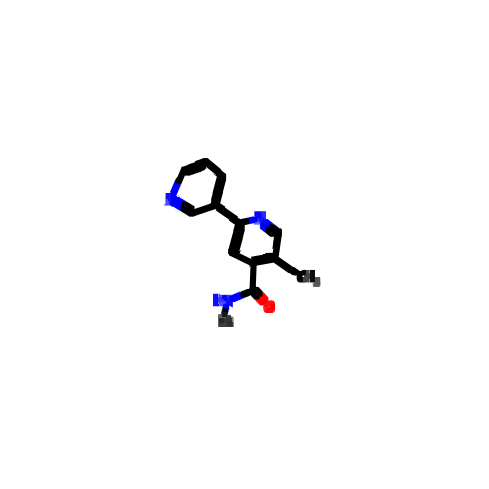 CCNC(=O)c1cc(-c2cccnc2)ncc1C